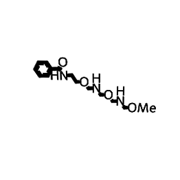 COCNCOCNCOCCNC(=O)c1ccccc1